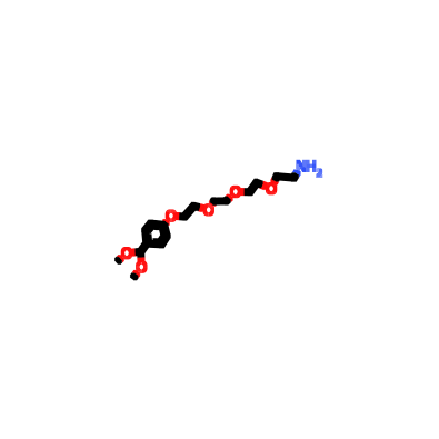 COC(OC)c1ccc(OCCOCCOCCOCCN)cc1